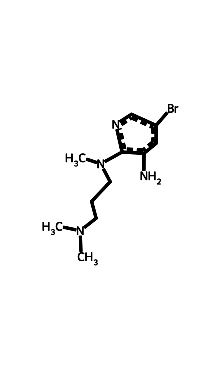 CN(C)CCCN(C)c1ncc(Br)cc1N